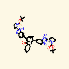 CC(C)(C)OC(=O)N1CCC[C@H]1c1nc2ccc(-c3ccc(-c4ccc5nc([C@@H]6CCCN6C(=O)OC(C)(C)C)[nH]c5c4)c4c3CC3(CCCCC3)C4=O)cc2[nH]1